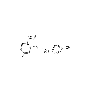 Cc1ccc(S(=O)(=O)O)c(CCCNc2ccc(C#N)cc2)c1